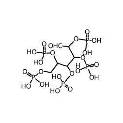 O=CC(OP(=O)(O)O)C(OP(=O)(O)O)C(OP(=O)(O)O)C(COP(=O)(O)O)OP(=O)(O)O